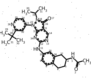 CC(=O)NC1CCc2ccc(Nc3ncc4c(=O)n(C(C)C)n(-c5ccnc(C(C)(C)C)c5)c4n3)cc2C1